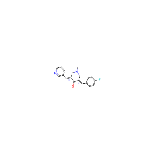 CN1C/C(=C\c2ccc(F)cc2)C(=O)/C(=C/c2cccnc2)C1